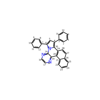 c1ccc(-c2cc(-c3ccccc3)n3c4nccnc4c4c5ccccc5ccc4c23)cc1